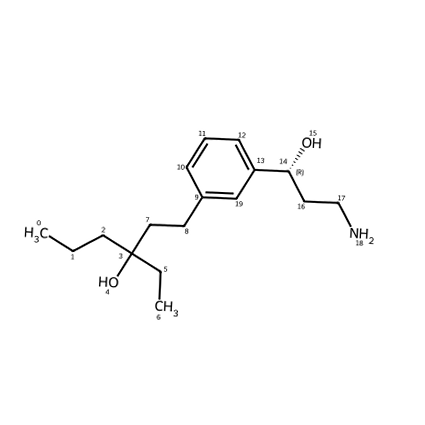 CCCC(O)(CC)CCc1cccc([C@H](O)CCN)c1